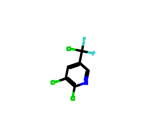 FC(F)(Cl)c1cnc(Cl)c(Cl)c1